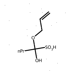 C=CCOC(O)(CCC)S(=O)(=O)O